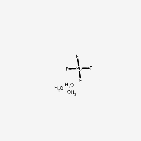 O.O.O.[F][Pb]([F])([F])[F]